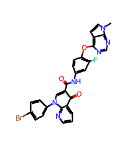 Cn1ccc2c(Oc3ccc(NC(=O)c4cn(-c5ccc(Br)cc5)c5ncccc5c4=O)cc3F)ncnc21